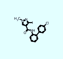 Cn1cc(C(=O)Nc2ccccc2-c2ccc(Cl)cc2)c(I)n1